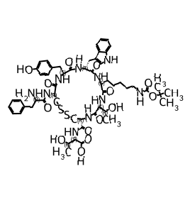 C[C@@H](O)[C@H](NC(=O)[C@@H]1CSSC[C@H](NC(=O)[C@H](N)Cc2ccccc2)C(=O)N[C@@H](Cc2ccc(O)cc2)C(=O)N[C@H](Cc2c[nH]c3ccccc23)C(=O)N[C@@H](CCCCCNC(=O)OC(C)(C)C)C(=O)N[C@@H]([C@@H](C)O)C(=O)N1)C(=O)O